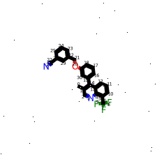 Cc1cnc2c(C(F)(F)F)cccc2c1-c1cccc(OCc2cccc(C#N)c2)c1